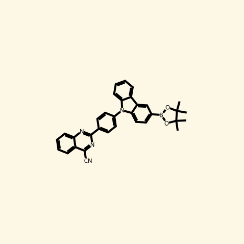 CC1(C)OB(c2ccc3c(c2)c2ccccc2n3-c2ccc(-c3nc(C#N)c4ccccc4n3)cc2)OC1(C)C